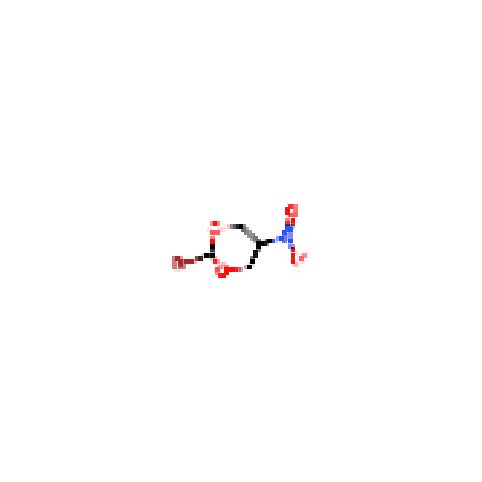 O=[N+]([O-])C1COC(Br)OC1